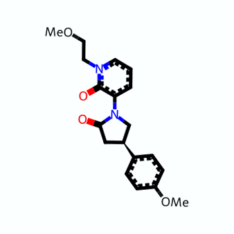 COCCn1cccc(N2C[C@@H](c3ccc(OC)cc3)CC2=O)c1=O